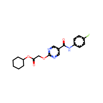 O=C(COc1ncc(C(=O)Nc2ccc(F)cc2)cn1)OC1CCCCC1